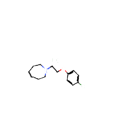 Cl.Clc1ccc(OCCN2CCCCCC2)cc1